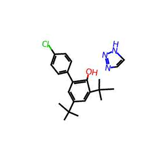 CC(C)(C)c1cc(-c2ccc(Cl)cc2)c(O)c(C(C)(C)C)c1.c1c[nH]nn1